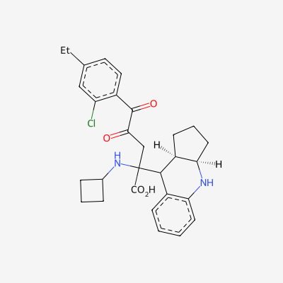 CCc1ccc(C(=O)C(=O)CC(NC2CCC2)(C(=O)O)C2c3ccccc3N[C@@H]3CCC[C@H]23)c(Cl)c1